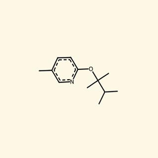 Cc1ccc(OC(C)(C)C(C)C)nc1